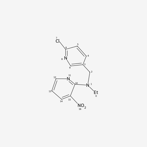 CCN(Cc1ccc(Cl)nc1)c1ncccc1[N+](=O)[O-]